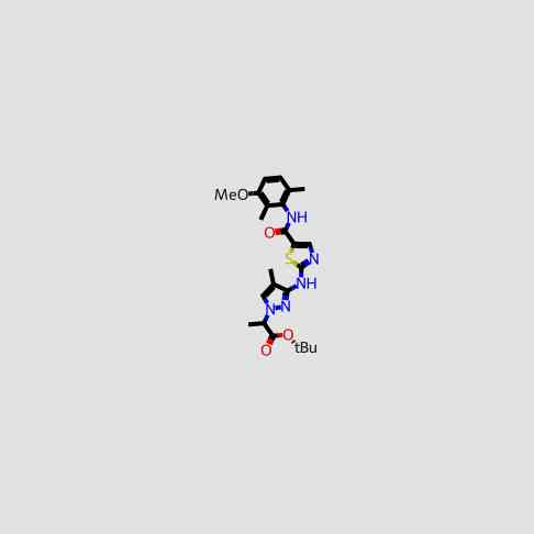 COc1ccc(C)c(NC(=O)c2cnc(Nc3nn(C(C)C(=O)OC(C)(C)C)cc3C)s2)c1C